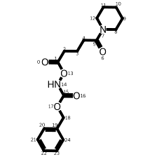 O=C(CCCC(=O)N1CCCCC1)ONC(=O)OCc1ccccc1